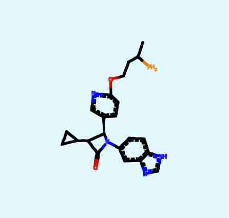 CC(P)CCOc1ccc([C@@H]2C(C3CC3)C(=O)N2c2ccc3[nH]cnc3c2)cn1